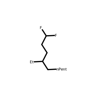 CCCCCCC(CC)CCC(F)F